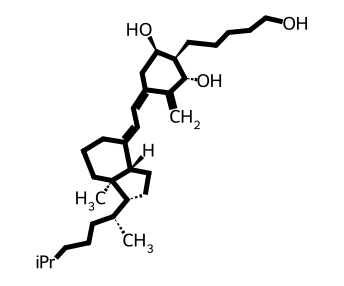 C=C1C(=CC=C2CCC[C@]3(C)[C@@H]([C@H](C)CCCC(C)C)CC[C@@H]23)C[C@@H](O)[C@@H](CCCCCO)[C@@H]1O